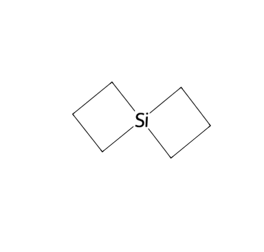 C1C[Si]2(C1)CCC2